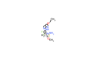 CC#CCOc1cnc2c(Nc3cc(F)c(F)c([C@@]4(C)N=C(N)S[C@@]5(COC)CC54)c3)nccc2c1